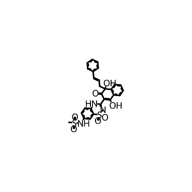 CS(=O)(=O)Nc1ccc2c(c1)S(=O)(=O)N=C(C1=C(O)c3ccccc3C(O)(CC=Cc3ccccc3)C1=O)N2